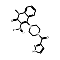 Cn1c(=O)c([N+](=O)[O-])c(N2CCN(C(=O)c3cc[nH]n3)CC2)c2ccccc21